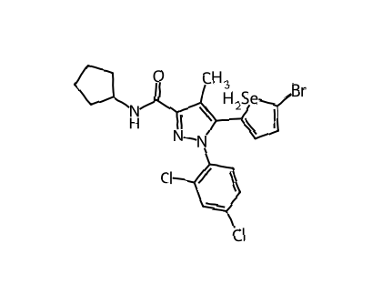 Cc1c(C(=O)NC2CCCC2)nn(-c2ccc(Cl)cc2Cl)c1C1=CC=C(Br)[SeH2]1